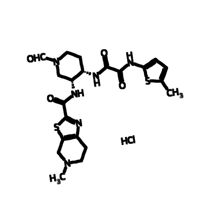 Cc1ccc(NC(=O)C(=O)N[C@H]2CCN(C=O)C[C@H]2NC(=O)c2nc3c(s2)CN(C)CC3)s1.Cl